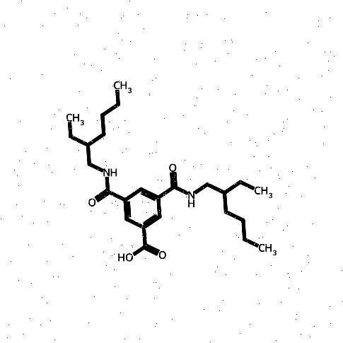 CCCCC(CC)CNC(=O)c1cc(C(=O)O)cc(C(=O)NCC(CC)CCCC)c1